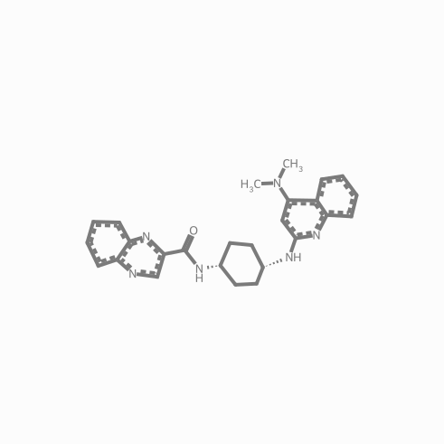 CN(C)c1cc(N[C@H]2CC[C@@H](NC(=O)c3cnc4ccccc4n3)CC2)nc2ccccc12